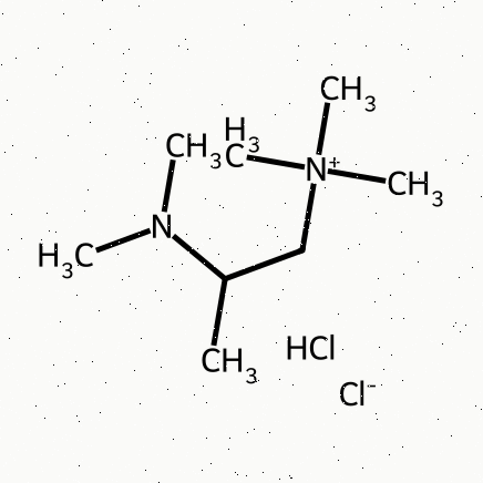 CC(C[N+](C)(C)C)N(C)C.Cl.[Cl-]